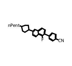 CCCCCC1CCC(c2ccc3c(F)c(-c4ccc(C#N)cc4)ccc3c2)CC1